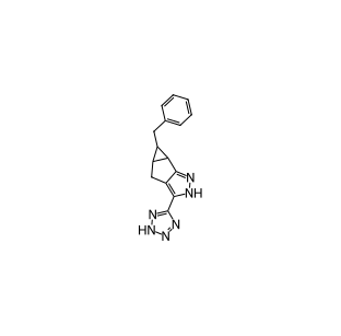 c1ccc(CC2C3Cc4c(n[nH]c4-c4nn[nH]n4)C23)cc1